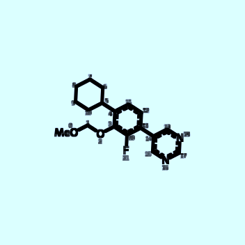 COCOc1c(C2CCCCC2)ccc(-c2cncnc2)c1F